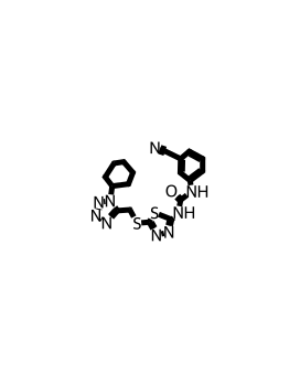 N#Cc1cccc(NC(=O)Nc2nnc(SCc3nnnn3C3CCCCC3)s2)c1